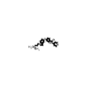 CN(C)CCCn1ccc2cc(Oc3ccc(C(=O)Nc4ccncc4)cc3)ccc21